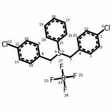 Clc1ccc(C[S+](Cc2ccc(Cl)cc2)c2ccccc2)cc1.F[B-](F)(F)F